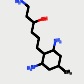 CC1CC(N)C(CCCC(O)CCN)C(N)C1